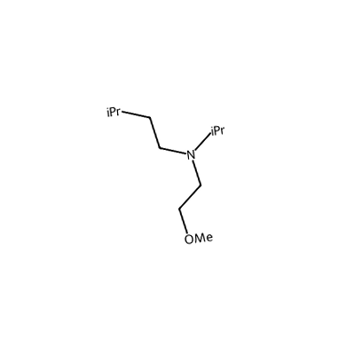 COCCN(CCC(C)C)C(C)C